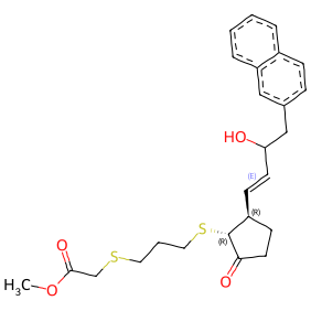 COC(=O)CSCCCS[C@H]1C(=O)CC[C@@H]1/C=C/C(O)Cc1ccc2ccccc2c1